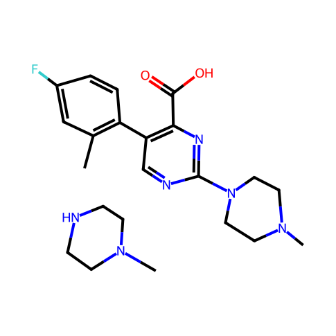 CN1CCNCC1.Cc1cc(F)ccc1-c1cnc(N2CCN(C)CC2)nc1C(=O)O